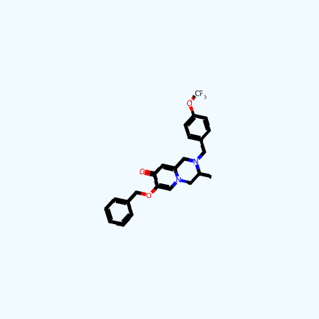 CC1Cn2cc(OCc3ccccc3)c(=O)cc2CN1Cc1ccc(OC(F)(F)F)cc1